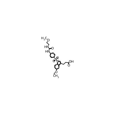 CCOc1ccc2c(c1)c(CCC(=O)O)cn2S(=O)(=O)c1ccc(NC(=O)NCCOC)cc1